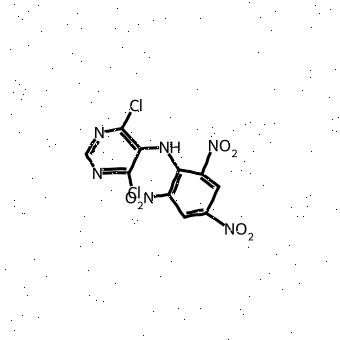 O=[N+]([O-])c1cc([N+](=O)[O-])c(Nc2c(Cl)ncnc2Cl)c([N+](=O)[O-])c1